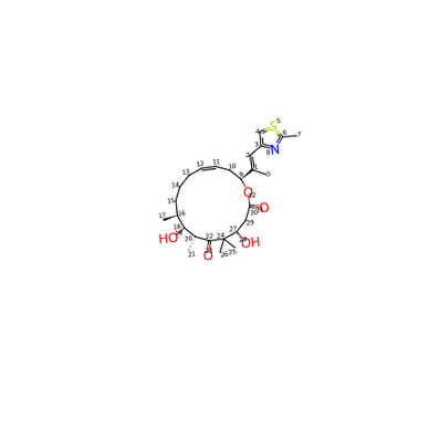 C/C(=C\c1csc(C)n1)[C@@H]1C/C=C\CCC[C@H](C)[C@H](O)[C@@H](C)C(=O)C(C)(C)C(O)CC(=O)O1